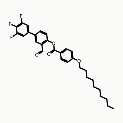 CCCCCCCCCCOc1ccc(C(=O)Oc2ccc(-c3cc(F)c(F)c(F)c3)cc2C=O)cc1